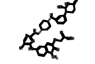 CNC(=O)COc1cc2cc(Nc3nc(NC[C@H]4CC[C@@H](Nc5cccc(C6CCC(=O)NC6O)c5)CC4)ncc3Cl)ccc2n(C)c1=O